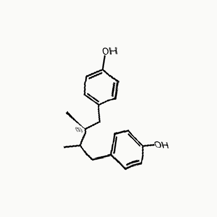 CC(Cc1ccc(O)cc1)[C@@H](C)Cc1ccc(O)cc1